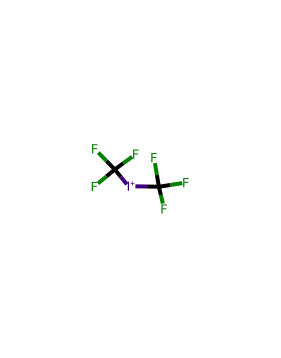 FC(F)(F)[I+]C(F)(F)F